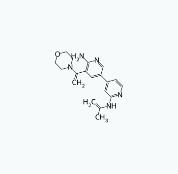 C=C(C)Nc1cc(-c2cnc(N)c(C(=C)N3CCOCC3)c2)ccn1